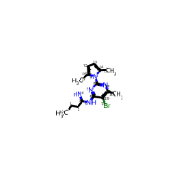 CCCC(=N)Nc1nc(-n2c(C)ccc2C)nc(C)c1Br